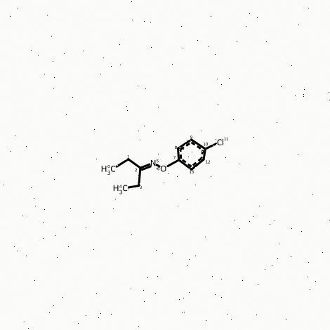 CCC(CC)=NOc1ccc(Cl)cc1